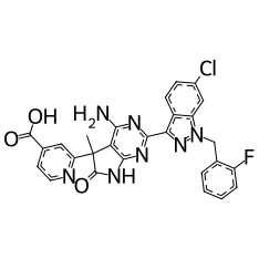 CC1(c2cc(C(=O)O)ccn2)C(=O)Nc2nc(-c3nn(Cc4ccccc4F)c4cc(Cl)ccc34)nc(N)c21